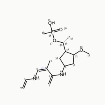 C=CN/C=C(/C)C(=C)NC1CC(OC)C([C@@H](C)OP(C)(=O)O)C1